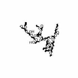 C=CCOCC(COC(COCC(O)COCC(COCC)OCC=C)COCC(COC(COCC(CO)OCC(O)COCC(O)COCC(COC)OCC=C)COC(COCC(COC)OCC=C)C(C)(C)C)OCC(COCC=C)OCC)OC